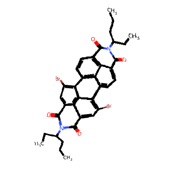 CCCC(CC)N1C(=O)c2ccc3c4c(Br)cc5c6c(cc(Br)c(c7ccc(c2c37)C1=O)c64)C(=O)N(C(CC)CCC)C5=O